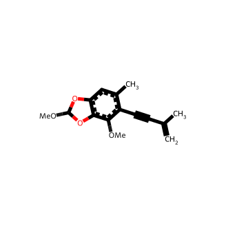 C=C(C)C#Cc1c(C)cc2c(c1OC)OC(OC)O2